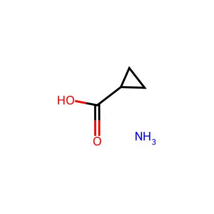 N.O=C(O)C1CC1